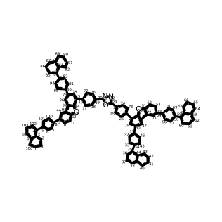 c1ccc2c(-c3ccc(-c4ccc5oc6c(-c7ccc(-c8nnc(-c9ccc(-c%10cc(-c%11ccc(-c%12cccc%13ccccc%12%13)cc%11)cc%11c%10oc%10ccc(-c%12ccc(-c%13cccc%14ccccc%13%14)cc%12)cc%10%11)cc9)o8)cc7)cc(-c7ccc(-c8cccc9ccccc89)cc7)cc6c5c4)cc3)cccc2c1